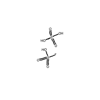 O=S(=O)(O)F.O=S(=O)(O)O